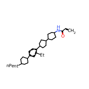 C=CC(=O)NC1CCC(C2CCC(c3ccc(C4CCC(CCCCC)CC4)cc3CC)CC2)CC1